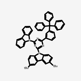 CC(C)(C)c1ccc2c(c1)c1cc(C(C)(C)C)ccc1n2-c1nc(-c2cccc(C(c3ccccc3)(c3ccccc3)c3ccccc3)c2)nc(-n2c3ccccc3c3ccccc32)n1